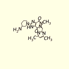 Cc1cc(C)nc(Cn2c(=O)c3[nH]c(N4CCCC(N)C4)nc3c(=O)n2C)n1